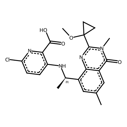 COC1(c2nc3c([C@@H](C)Nc4ccc(Cl)nc4C(=O)O)cc(C)cc3c(=O)n2C)CC1